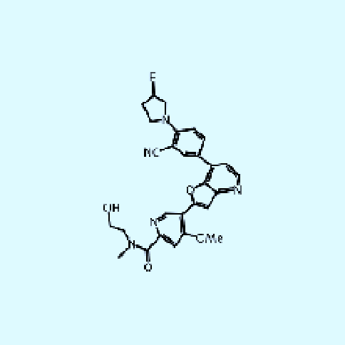 COc1cc(C(=O)N(C)CCO)ncc1-c1cc2nccc(-c3ccc(N4CCC(F)C4)c(C#N)c3)c2o1